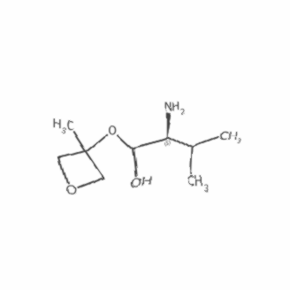 CC(C)[C@H](N)C(O)OC1(C)COC1